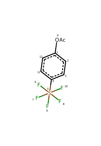 CC(=O)Oc1ccc(S(F)(F)(F)(F)F)cc1